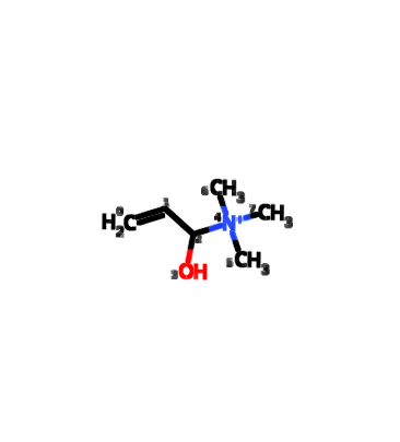 C=CC(O)[N+](C)(C)C